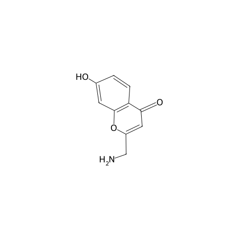 NCc1cc(=O)c2ccc(O)cc2o1